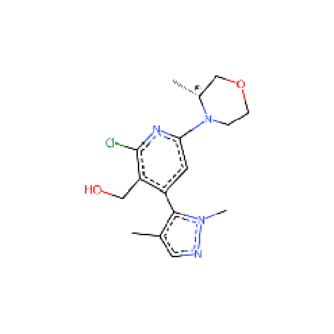 Cc1cnn(C)c1-c1cc(N2CCOC[C@H]2C)nc(Cl)c1CO